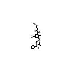 Cc1c(CN2CCN(C(=O)C3CCCC3)C(C)C2)cc(Cl)cc1NC(=O)CCCC#N